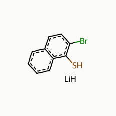 Sc1c(Br)ccc2ccccc12.[LiH]